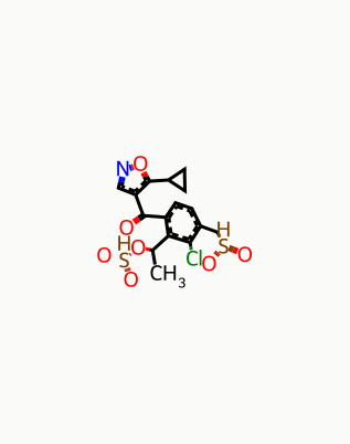 CC(O[SH](=O)=O)c1c(C(=O)c2cnoc2C2CC2)ccc(C[SH](=O)=O)c1Cl